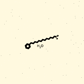 CP(C)CCCCCCCCCCCCCc1ccccc1.O